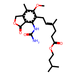 COc1c(C)c2c(c(NC(N)=O)c1C/C=C(\C)CCC(=O)OCCC(C)C)C(=O)OC2